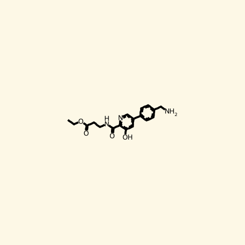 CCOC(=O)CCNC(=O)c1ncc(-c2ccc(CN)cc2)cc1O